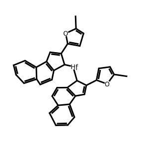 Cc1ccc(C2=Cc3c(ccc4ccccc34)[CH]2[Hf][CH]2C(c3ccc(C)o3)=Cc3c2ccc2ccccc32)o1